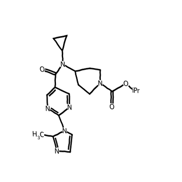 Cc1nccn1-c1ncc(C(=O)N(C2CC2)C2CCN(C(=O)OC(C)C)CC2)cn1